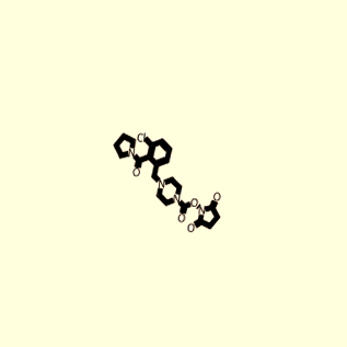 O=C(ON1C(=O)CCC1=O)N1CCN(Cc2cccc(Cl)c2C(=O)N2CCCC2)CC1